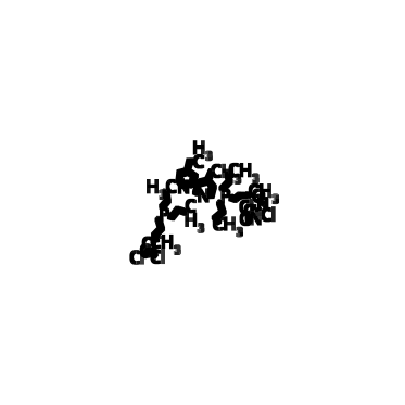 CCCCP(CCCC)CCCC.CCCCP(CCCC)CCCC.CCc1ccncc1.CCc1ccncc1.O=[N][Cr]([Cl])([Cl])[N]=O.[Cl][Cr]([Cl])[Cl]